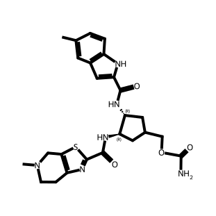 Cc1ccc2[nH]c(C(=O)N[C@@H]3CC(COC(N)=O)C[C@H]3NC(=O)c3nc4c(s3)CN(C)CC4)cc2c1